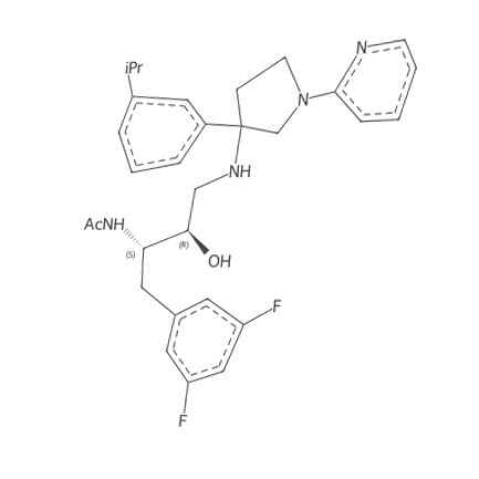 CC(=O)N[C@@H](Cc1cc(F)cc(F)c1)[C@H](O)CNC1(c2cccc(C(C)C)c2)CCN(c2ccccn2)C1